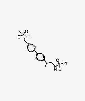 CC(CNS(=O)(=O)C(C)C)c1ccc(-c2ccc(CNS(C)(=O)=O)cc2)cc1